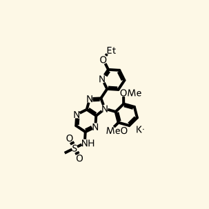 CCOc1cccc(-c2nc3ncc(NS(C)(=O)=O)nc3n2-c2c(OC)cccc2OC)n1.[K]